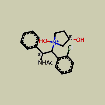 CC(=O)N[C@@H](c1ccccc1)C(c1ccccc1Cl)[N+]1(O)CC[C@H](O)C1